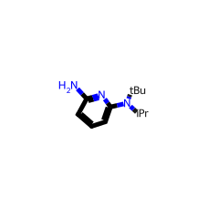 CC(C)N(c1cccc(N)n1)C(C)(C)C